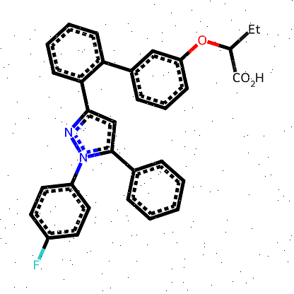 CCC(Oc1cccc(-c2ccccc2-c2cc(-c3ccccc3)n(-c3ccc(F)cc3)n2)c1)C(=O)O